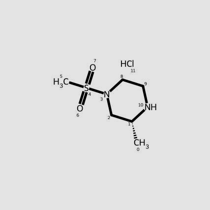 C[C@@H]1CN(S(C)(=O)=O)CCN1.Cl